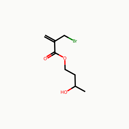 C=C(CBr)C(=O)OCCC(C)O